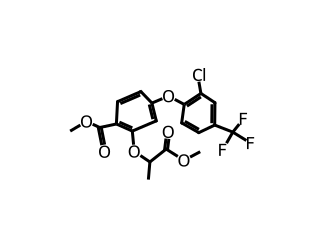 COC(=O)c1ccc(Oc2ccc(C(F)(F)F)cc2Cl)cc1OC(C)C(=O)OC